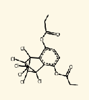 CCC(=O)Oc1ccc(OC(=O)CC)c2c1C1(Cl)C(Cl)=C(Cl)C2(Cl)C1(Cl)Cl